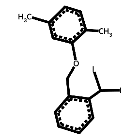 Cc1ccc(C)c(OCc2ccccc2C(I)I)c1